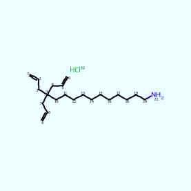 C=CCC(CC=C)(CC=C)CCCCCCCCCCCN.Cl